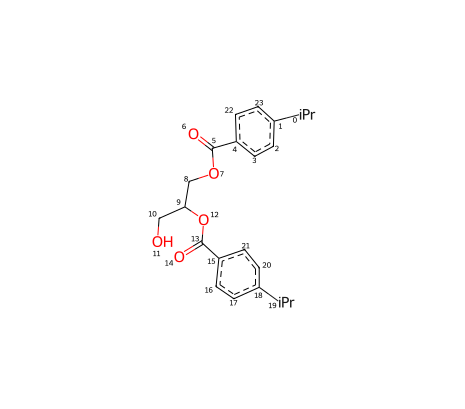 CC(C)c1ccc(C(=O)OCC(CO)OC(=O)c2ccc(C(C)C)cc2)cc1